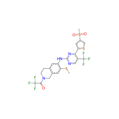 CSc1cc2c(cc1Nc1ncc(C(F)(F)F)c(-c3cc(S(C)(=O)=O)cs3)n1)CCN(C(=O)C(F)(F)F)C2